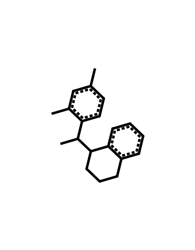 Cc1ccc(C(C)C2CCCc3ccccc32)c(C)c1